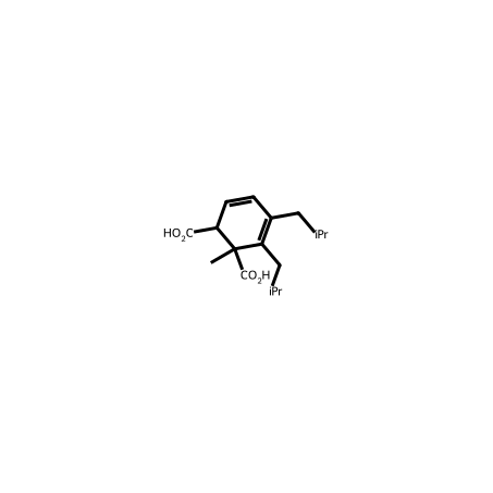 CC(C)CC1=C(CC(C)C)C(C)(C(=O)O)C(C(=O)O)C=C1